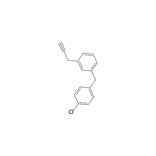 C#CCc1cccc(Cc2ccc(Cl)cc2)c1